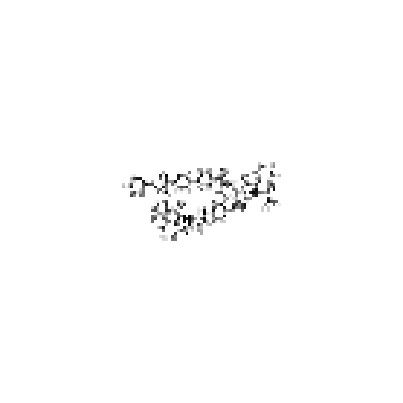 CN[C@@H](C)C(=O)N[C@H](C(=O)N1CC(F)(F)C[C@H]1CN(CCc1ccccc1)C(=O)c1ccc(-c2ccc(C(=O)N(CCc3ccccc3)C[C@@H]3CC(F)(F)CN3C(=O)[C@@H](NC(=O)C(C)C)C3CCCCC3)cc2)cc1)C1CCCCC1